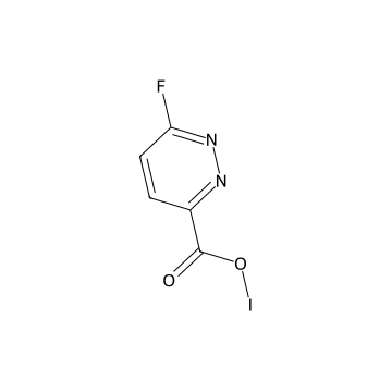 O=C(OI)c1ccc(F)nn1